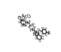 CC(=O)OCn1c(N(C)C2CCN(c3nc4ccccc4n3Cc3ccc(F)cc3)CC2)nccc1=O